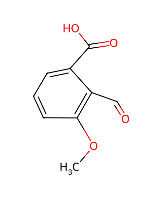 COc1cccc(C(=O)O)c1C=O